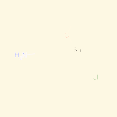 C[CH2][Sn+]([O]C)[c]1ccccc1C(C)N.[Cl-]